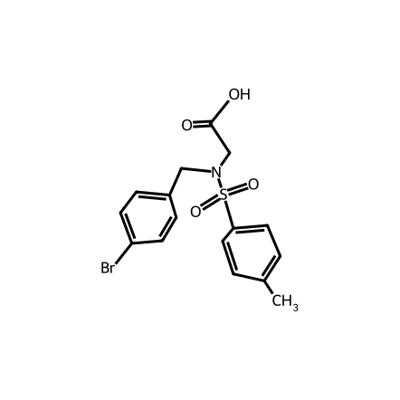 Cc1ccc(S(=O)(=O)N(CC(=O)O)Cc2ccc(Br)cc2)cc1